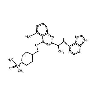 Cc1cccc2nc(C(C)Nc3ncnc4[nH]cnc34)nc(OCC3CCN([SH](C)(C)=O)CC3)c12